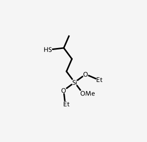 CCO[Si](CCC(C)S)(OC)OCC